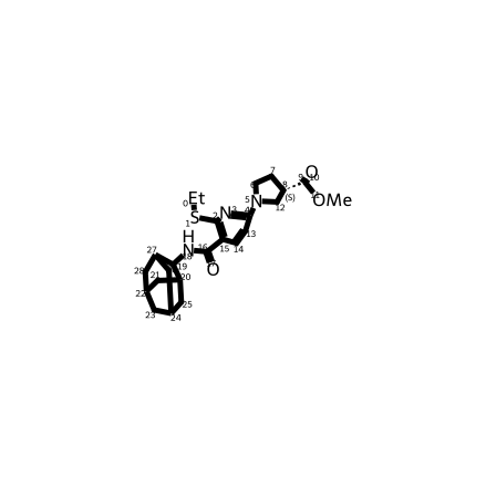 CCSc1nc(N2CC[C@H](C(=O)OC)C2)ccc1C(=O)NC1C2CC3CC(C2)CC1C3